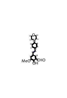 COc1cc(/C=C/c2ccc(N3CCOCC3)cc2)cc(C=O)c1O